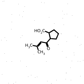 CC(C)=CC(=O)C1CCCC1C(=O)O